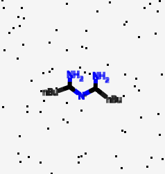 CCCCC(N)[N]C(N)CCCC